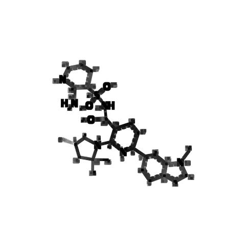 C[C@@H]1CN(c2nc(-c3ccc4ccn(C)c4c3)ccc2C(=O)NS(=O)(=O)c2cccnc2N)C(C)(C)C1